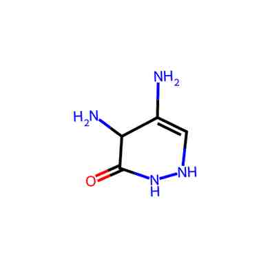 NC1=CNNC(=O)C1N